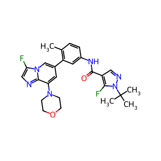 Cc1ccc(NC(=O)c2cnn(C(C)(C)C)c2F)cc1-c1cc(N2CCOCC2)c2ncc(F)n2c1